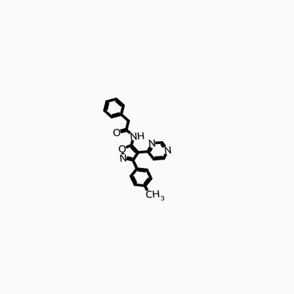 Cc1ccc(-c2noc(NC(=O)Cc3ccccc3)c2-c2ccncn2)cc1